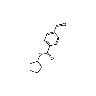 O=Cc1ccc(C(=O)OC2CCCC2)cc1